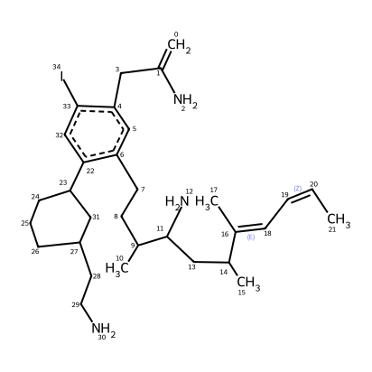 C=C(N)Cc1cc(CCC(C)C(N)CC(C)/C(C)=C/C=C\C)c(C2CCCC(CCN)C2)cc1I